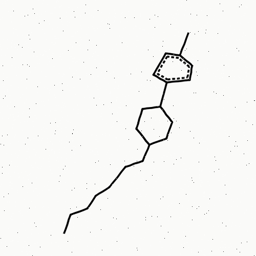 CCCCCCCC1CCC(c2ccc(C)cc2)CC1